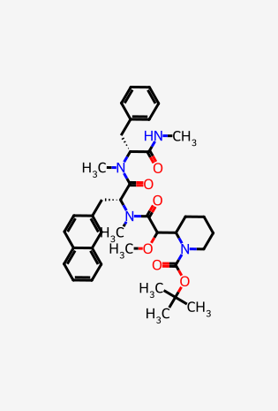 CNC(=O)[C@@H](Cc1ccccc1)N(C)C(=O)[C@@H](Cc1ccc2ccccc2c1)N(C)C(=O)C(OC)C1CCCCN1C(=O)OC(C)(C)C